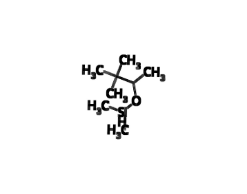 CC(O[SiH](C)C)C(C)(C)C